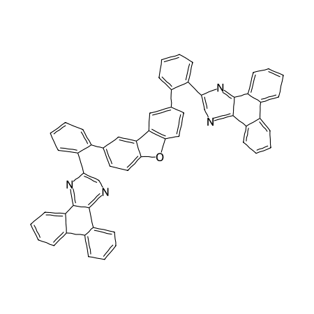 c1ccc(-c2cnc3c4ccccc4c4ccccc4c3n2)c(-c2ccc3oc4ccc(-c5ccccc5-c5cnc6c7ccccc7c7ccccc7c6n5)cc4c3c2)c1